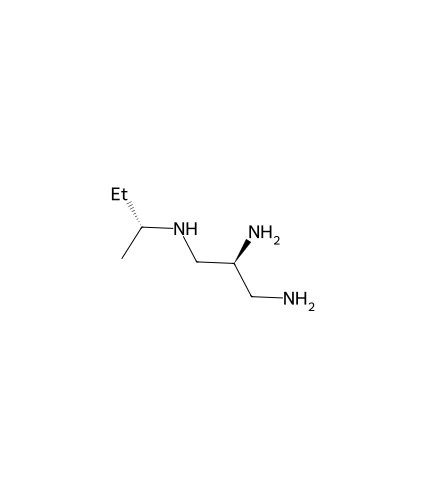 CC[C@@H](C)NC[C@@H](N)CN